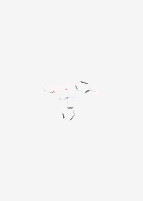 CCC(=O)C1Cc2ccccc2C12Nc1cc(OC)ccc1OC2=O